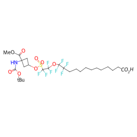 COC(=O)C1(NC(=O)OC(C)(C)C)CC(OS(=O)(=O)C(F)(F)C(F)(F)OC(F)(F)C(F)(F)CCCCCCCCCCC(=O)O)C1